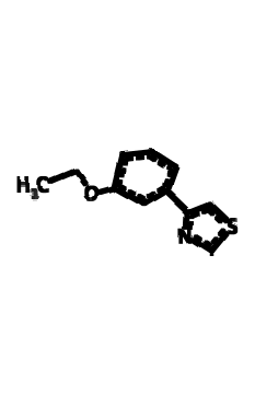 CCOc1cccc(-c2cs[c]n2)c1